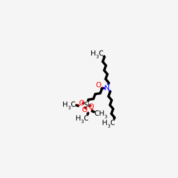 CCCCCCCCN(CCCCCCCC)C(=O)CCCC[Si](OCC)(OCC)OCC